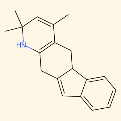 CC1=CC(C)(C)NC2=C1CC1C(=Cc3ccccc31)C2